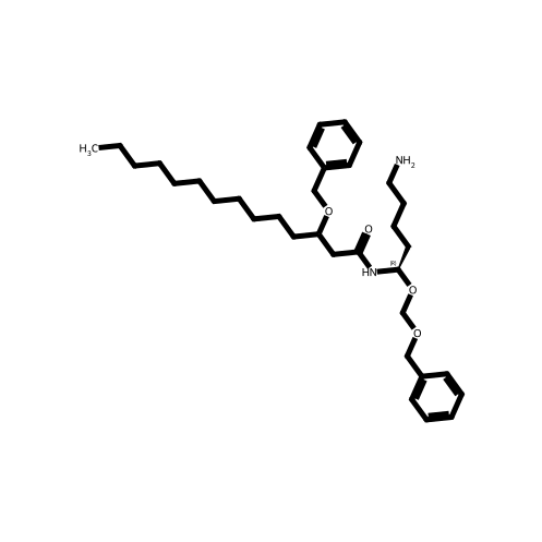 CCCCCCCCCCCC(CC(=O)N[C@@H](CCCCN)OCOCc1ccccc1)OCc1ccccc1